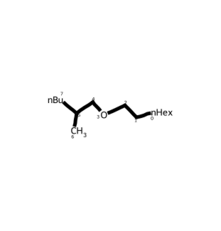 CCCCCCCCOCC(C)CCCC